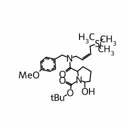 COc1ccc(CN(C/C=C\C[Si](C)(C)C)C(=O)C2CCCC(O)N2C(=O)OC(C)(C)C)cc1